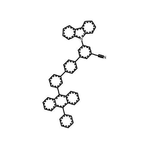 N#Cc1cc(-c2ccc(-c3cccc(-c4c5ccccc5c(-c5ccccc5)c5ccccc45)c3)cc2)cc(-n2c3ccccc3c3ccccc32)c1